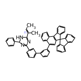 C/C=C(\C)C1=NC(c2cccc(-c3cccc(-c4cc5c(c6ccccc46)-c4ccccc4C54c5ccccc5-c5ccccc54)c3)c2)=NC(c2ccccc2)N1